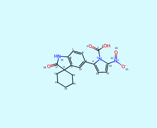 O=C(O)n1c(-c2ccc3c(c2)C2(CCCCC2)C(=O)N3)ccc1[N+](=O)[O-]